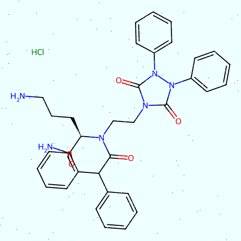 Cl.NCCC[C@H](C(N)=O)N(CCn1c(=O)n(-c2ccccc2)n(-c2ccccc2)c1=O)C(=O)C(c1ccccc1)c1ccccc1